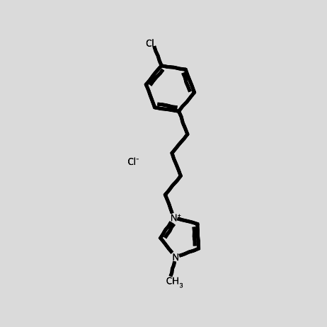 Cn1cc[n+](CCCCc2ccc(Cl)cc2)c1.[Cl-]